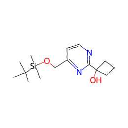 CC(C)(C)[Si](C)(C)OCc1ccnc(C2(O)CCC2)n1